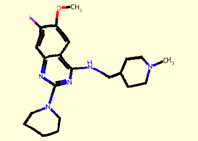 COc1cc2c(NCC3CCN(C)CC3)nc(N3CCCCC3)nc2cc1I